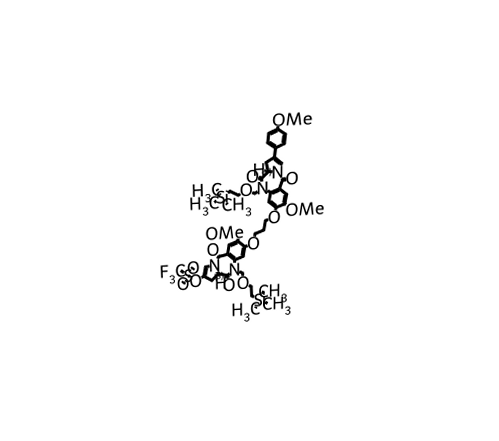 COc1ccc(C2=CN3C(=O)c4cc(OC)c(OCCCOc5cc6c(cc5OC)C(=O)N5C=C(OS(=O)(=O)C(F)(F)F)C[C@H]5C(=O)N6COCC[Si](C)(C)C)cc4N(COCC[Si](C)(C)C)C(=O)[C@@H]3C2)cc1